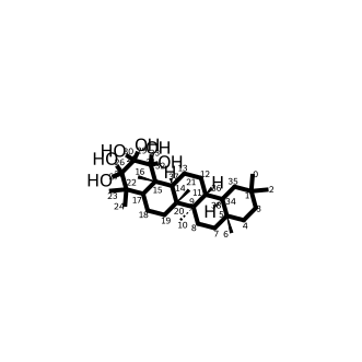 CC1(C)CC[C@]2(C)CC[C@]3(C)[C@H](CC[C@@H]4[C@]5(C)C(CC[C@]43C)C(C)(C)C(O)(O)C(O)(O)C5(O)O)[C@H]2C1